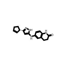 O=C1CCc2cc(Nc3cc([C@@H]4C=CCC4)n[nH]3)ccc2N1